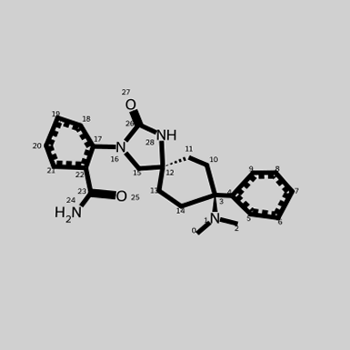 CN(C)[C@]1(c2ccccc2)CC[C@]2(CC1)CN(c1ccccc1C(N)=O)C(=O)N2